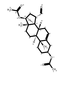 CC(=O)O[C@H]1CC[C@@]2(C)C(=CC[C@H]3[C@@H]4[C@@H](C=O)C[C@H](OC(C)=O)[C@@]4(C)CC[C@@H]32)C1